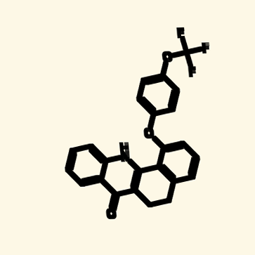 O=c1c2c([nH]c3ccccc13)-c1c(cccc1Oc1ccc(OC(F)(F)F)cc1)CC2